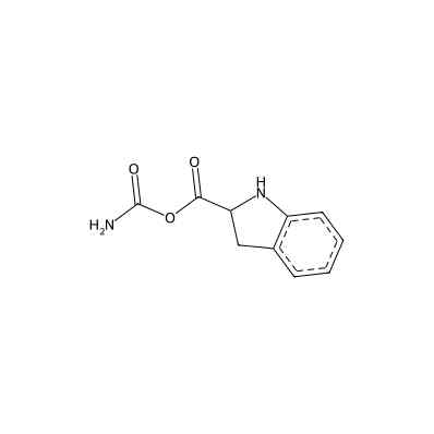 NC(=O)OC(=O)C1Cc2ccccc2N1